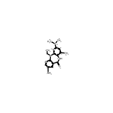 CCN1c2ncc(N)cc2C(=O)Nc2c(C)cc(N(C)C)nc21